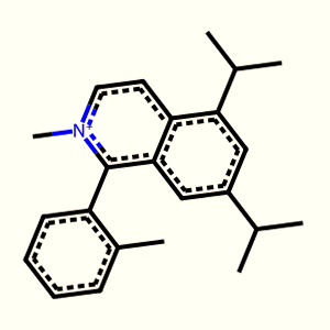 Cc1ccccc1-c1c2cc(C(C)C)cc(C(C)C)c2cc[n+]1C